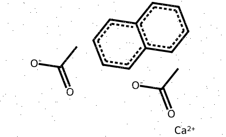 CC(=O)[O-].CC(=O)[O-].[Ca+2].c1ccc2ccccc2c1